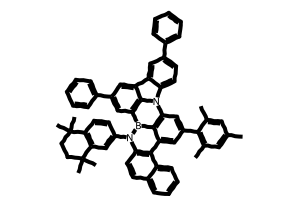 Cc1cc(C)c(-c2cc3c4c(c2)-n2c5ccc(-c6ccccc6)cc5c5cc(-c6ccccc6)cc(c52)B4N(c2ccc4c(c2)C(C)(C)CCC4(C)C)c2ccc4ccccc4c2-3)c(C)c1